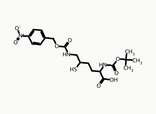 CC(C)(C)OC(=O)NC(CCC(S)CNC(=O)OCc1ccc([N+](=O)[O-])cc1)C(=O)O